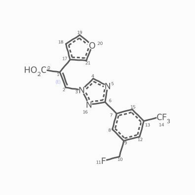 O=C(O)/C(=C/n1cnc(-c2cc(CF)cc(C(F)(F)F)c2)n1)c1ccoc1